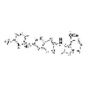 COc1cccc2c1C(NC1=Nc3ccc(Nc4cccc(C(F)(F)F)n4)cc3CO1)CC2